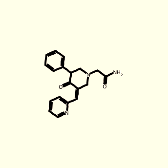 NC(=O)CN1C/C(=C/c2ccccn2)C(=O)C(c2ccccc2)C1